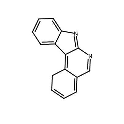 C1=CCc2c3c(ncc2=C1)=Nc1ccccc1-3